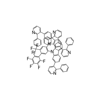 Fc1c(F)c(F)c(-c2cc(-n3c4cc(-c5cccnc5-c5ccccc5)ccc4c4ccc(-c5cccnc5-c5ccccc5)cc43)c(-n3c4cc(-c5cccnc5-c5ccccc5)ccc4c4ccc(-c5cccnc5-c5ccccc5)cc43)cc2C(F)(F)F)c(F)c1F